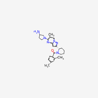 Cc1ccc(C(=O)N2CCCC[C@H]2c2cc3nc(N4CCC(N)C4)c(C)cn3n2)c(C)c1